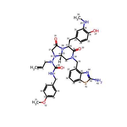 C=CCN(C(=O)NCc1ccc(OC)cc1)N1CC(=O)N2[C@@H](Cc3ccc(O)c(NC)c3)C(=O)N(Cc3cccc4sc(N)nc34)C[C@@H]21